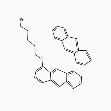 CC(C)CCCCCOc1cccc2cc3ccccc3cc12.c1ccc2cc3ccccc3cc2c1